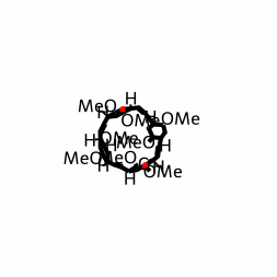 COC1C[C@@H]2/C=C\[C@H]3CC(OC)[C@@H](/C=C\[C@H]4CC(OC)[C@@H](/C=C\[C@H]5CC(OC)[C@@H](/C=C\[C@H]1CC2OC)CC5OC)C[C@H]4OC)CC3OC